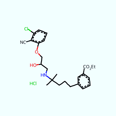 CCOC(=O)c1cccc(CCCC(C)(C)NCC(O)COc2cccc(Cl)c2C#N)c1.Cl